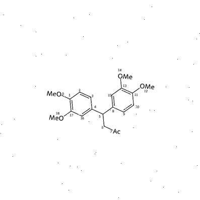 COc1ccc(C(CC(C)=O)c2ccc(OC)c(OC)c2)cc1OC